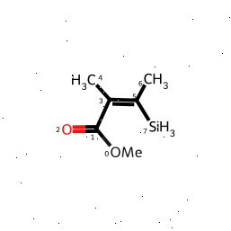 COC(=O)C(C)=C(C)[SiH3]